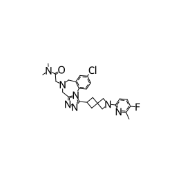 Cc1nc(N2CC3(CC(c4nnc5n4-c4ccc(Cl)cc4CN(CC(=O)N(C)C)C5)C3)C2)ccc1F